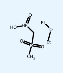 CCOCC.CS(=O)(=O)C[PH](=O)O